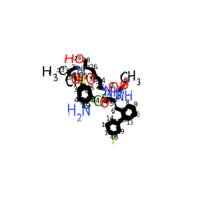 COC(=O)N[C@@H](Cc1ccccc1-c1cccc(F)c1)C(=O)NCCCCC(CO)N(CC(C)C)S(=O)(=O)c1ccc(N)c(Cl)c1